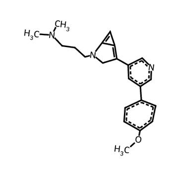 COc1ccc(-c2cncc(C3=C4C=C4N(CCCN(C)C)C3)c2)cc1